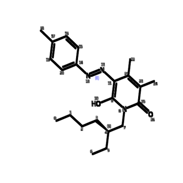 CCCC[C@H](CC)Cn1c(O)c(/N=N/c2ccc(C)cc2)c(C)c(C)c1=O